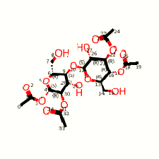 CC(=O)O[C@@H]1O[C@H](CO)[C@@H](O[C@@H]2O[C@H](CO)[C@@H](OC(C)=O)[C@H](OC(C)=O)[C@H]2O)[C@H](O)[C@H]1OC(C)=O